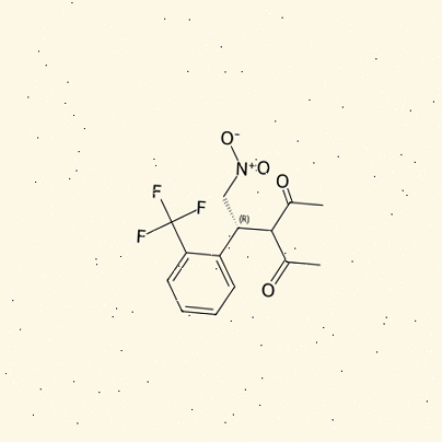 CC(=O)C(C(C)=O)[C@@H](C[N+](=O)[O-])c1ccccc1C(F)(F)F